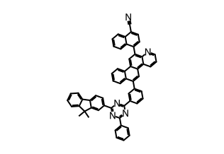 CC1(C)c2ccccc2-c2ccc(-c3nc(-c4ccccc4)nc(-c4cccc(-c5cc6c7cccnc7c(-c7ccc(C#N)c8ccccc78)cc6c6ccccc56)c4)n3)cc21